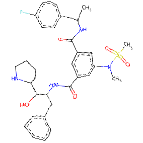 CC(NC(=O)c1cc(C(=O)NC(Cc2ccccc2)C(O)C2CCCN2)cc(N(C)S(C)(=O)=O)c1)c1ccc(F)cc1